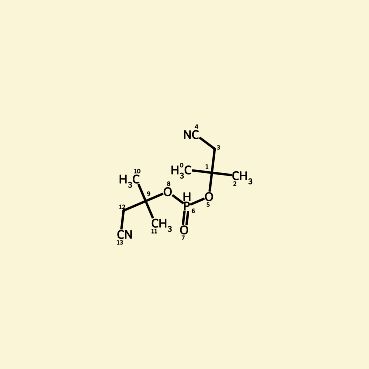 CC(C)(CC#N)O[PH](=O)OC(C)(C)CC#N